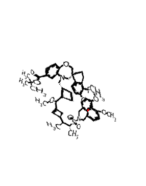 COc1ccc(CN(Cc2ccc(OC)cc2)S(=O)(=O)[C@H](C)[C@@H](C)[C@H]2C=C([C@H](OC)[C@@H]3CC[C@H]3CN3C[C@@]4(CCCc5c4ccc(Cl)c5F)COc4ccc(C(=O)OC(C)(C)C)cc43)C2)cc1